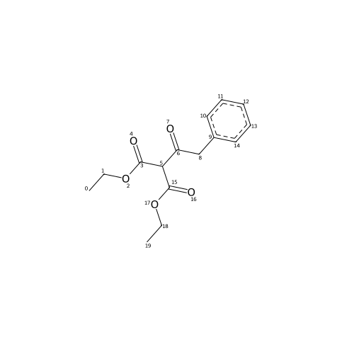 CCOC(=O)C(C(=O)Cc1ccccc1)C(=O)OCC